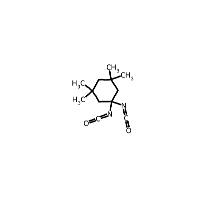 CC1(C)CC(C)(C)CC(N=C=O)(N=C=O)C1